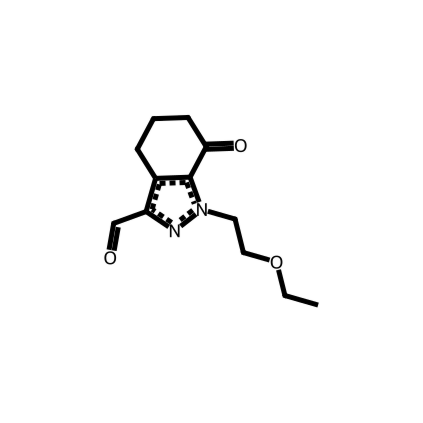 CCOCCn1nc(C=O)c2c1C(=O)CCC2